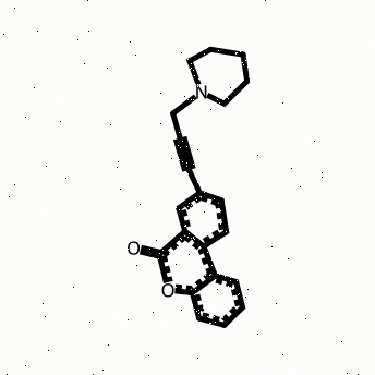 O=c1oc2ccccc2c2ccc(C#CCN3CCCCC3)cc12